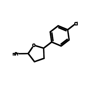 CCCC1CCC(c2ccc(Cl)cc2)O1